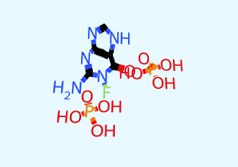 Nc1nc2nc[nH]c2c(=O)n1F.O=P(O)(O)O.O=P(O)(O)O